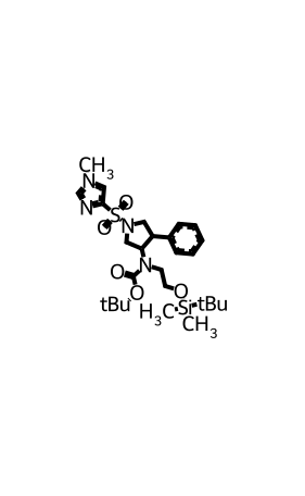 Cn1cnc(S(=O)(=O)N2CC(c3ccccc3)C(N(CCO[Si](C)(C)C(C)(C)C)C(=O)OC(C)(C)C)C2)c1